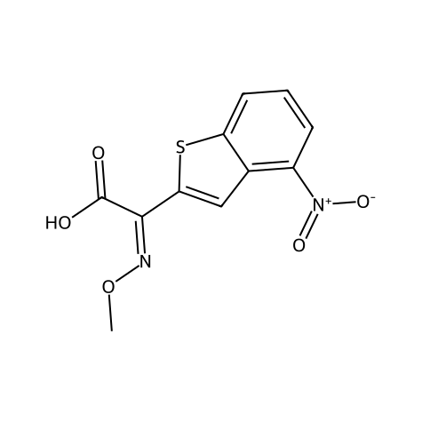 CON=C(C(=O)O)c1cc2c([N+](=O)[O-])cccc2s1